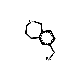 FC(F)(F)Oc1ccc2c(c1)CCCNC2